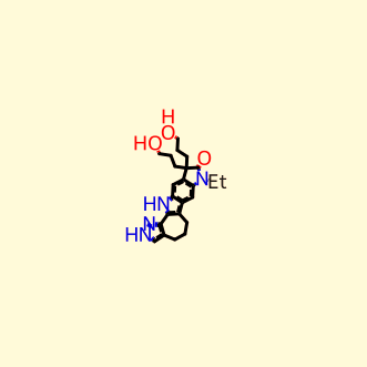 CCN1C(=O)C(CCCO)(CCCO)c2cc3[nH]c4c(c3cc21)CCCc1c[nH]nc1-4